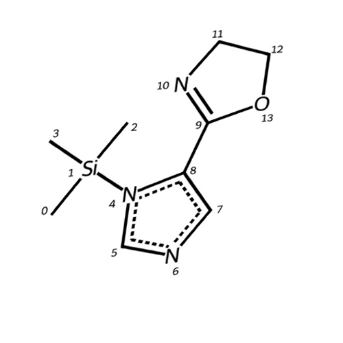 C[Si](C)(C)n1cncc1C1=NCCO1